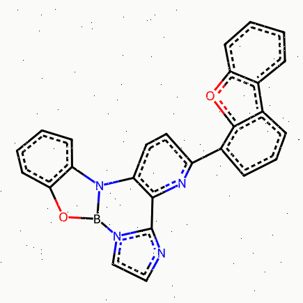 c1ccc2c(c1)OB1N2c2ccc(-c3cccc4c3oc3ccccc34)nc2-c2nccn21